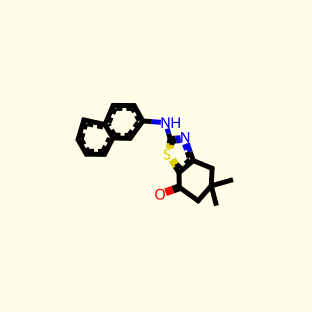 CC1(C)CC(=O)c2sc(Nc3ccc4ccccc4c3)nc2C1